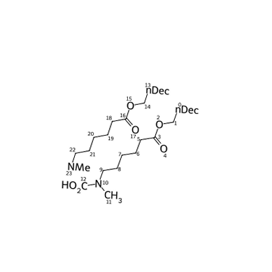 CCCCCCCCCCCOC(=O)CCCCCN(C)C(=O)O.CCCCCCCCCCCOC(=O)CCCCCNC